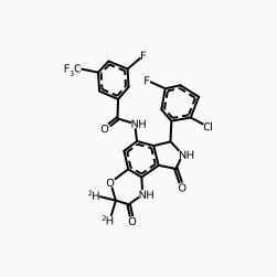 [2H]C1([2H])Oc2cc(NC(=O)c3cc(F)cc(C(F)(F)F)c3)c3c(c2NC1=O)C(=O)NC3c1cc(F)ccc1Cl